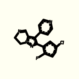 Fc1ccc(Cl)cc1-c1nn2c(c1-c1ccncc1)C=NCC2